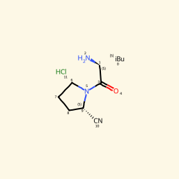 CC[C@H](C)[C@H](N)C(=O)N1CCC[C@H]1C#N.Cl